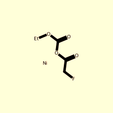 CCOC(=O)OC(=O)CF.[Ni]